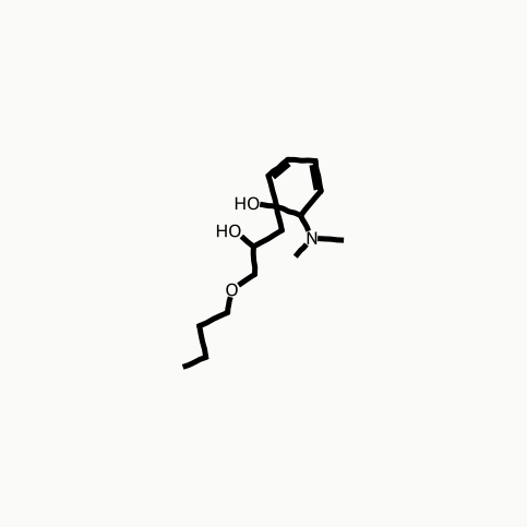 CCCCOCC(O)CC1(O)C=CC=CC1N(C)C